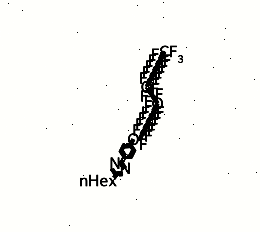 CCCCCCc1cnc(-c2ccc(OC(F)C(F)(F)C(F)(F)C(F)(F)C(F)(F)C(F)(F)OC(F)(F)C(F)(F)OC(F)(F)C(F)(F)C(F)(F)C(F)(F)C(F)(F)C(F)(F)F)cc2)nc1